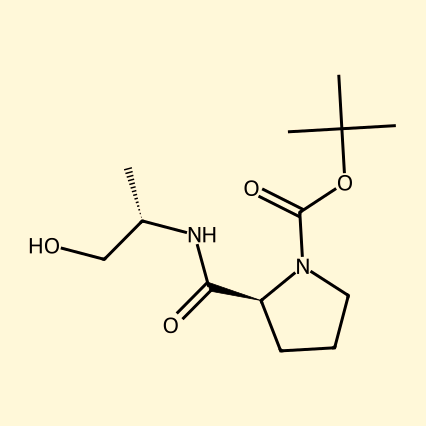 C[C@@H](CO)NC(=O)[C@@H]1CCCN1C(=O)OC(C)(C)C